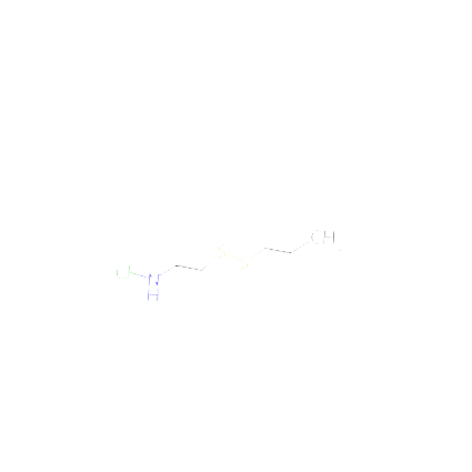 CCCSSCCNCl